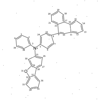 c1ccc(N(c2ccc(-c3cc4ccccc4c4ccccc34)cc2)c2ccc3c(c2)oc2ccccc23)cc1